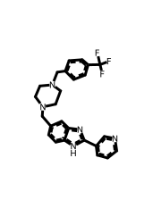 FC(F)(F)c1ccc(CN2CCN(Cc3ccc4[nH]c(-c5cccnc5)nc4c3)CC2)cc1